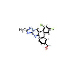 Cc1nc2nc(-c3ccc(C=O)cc3)c(-c3ccc(F)cc3F)cn2n1